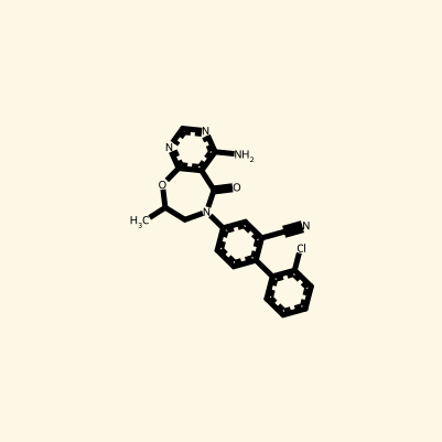 CC1CN(c2ccc(-c3ccccc3Cl)c(C#N)c2)C(=O)c2c(N)ncnc2O1